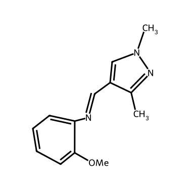 COc1ccccc1N=Cc1cn(C)nc1C